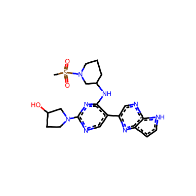 CS(=O)(=O)N1CCCC(Nc2nc(N3CCC(O)C3)ncc2-c2cnc3[nH]ccc3n2)C1